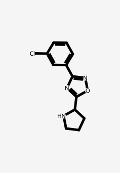 Clc1cccc(-c2noc(C3CCCN3)n2)c1